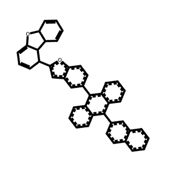 C1=CC2OC3=CC=CC(c4cc5cc(-c6c7ccccc7c(-c7ccc8ccccc8c7)c7ccccc67)ccc5o4)C3C2C=C1